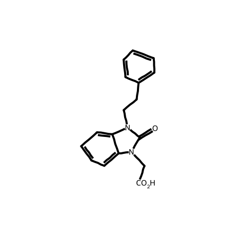 O=C(O)Cn1c(=O)n(CCc2ccccc2)c2ccccc21